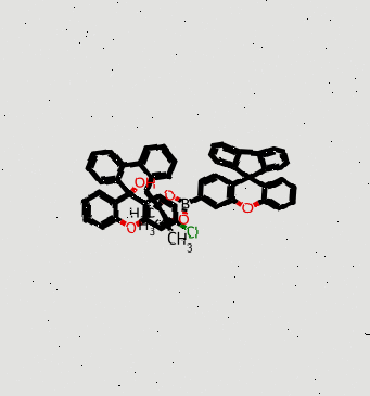 CC1(C)OB(c2ccc3c(c2)Oc2ccccc2C32c3ccccc3-c3ccccc32)OC1(C)Cc1ccccc1-c1ccccc1C1(O)c2ccccc2Oc2cc(Cl)ccc21